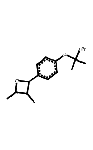 CCCC(C)(C)Oc1ccc(C2OC(C)C2C)cc1